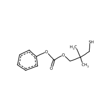 CC(C)(CS)COC(=O)Oc1ccccc1